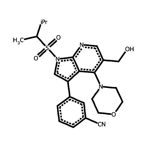 CC(C)C(C)S(=O)(=O)n1cc(-c2cccc(C#N)c2)c2c(N3CCOCC3)c(CO)cnc21